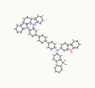 CC1(C)c2ccccc2-c2ccc(N(c3ccc(-c4ccc(-c5ccc6c(c5)n5c7ccccc7c7ccc8c9ccccc9n6c8c75)cc4)cc3)c3ccc4c(c3)oc3ccccc34)cc21